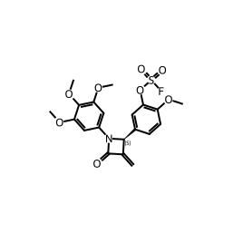 C=C1C(=O)N(c2cc(OC)c(OC)c(OC)c2)[C@H]1c1ccc(OC)c(OS(=O)(=O)F)c1